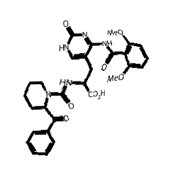 COc1cccc(OC)c1C(=O)Nc1nc(=O)[nH]cc1CC(NC(=O)N1CCCCC1C(=O)c1ccccc1)C(=O)O